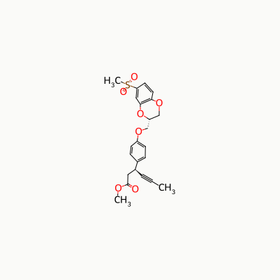 CC#C[C@@H](CC(=O)OC)c1ccc(OC[C@H]2COc3ccc(S(C)(=O)=O)cc3O2)cc1